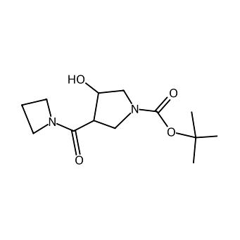 CC(C)(C)OC(=O)N1CC(O)C(C(=O)N2CCC2)C1